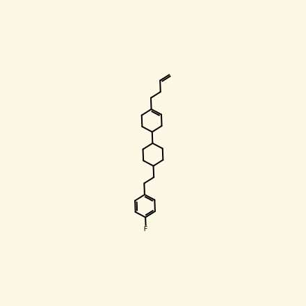 C=CCCC1=CCC(C2CCC(CCc3ccc(F)cc3)CC2)CC1